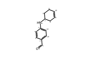 O=Cc1ccc(NC2CC=CCC2)cc1